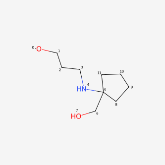 [O]CCCNC1(CO)CCCC1